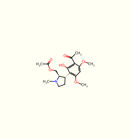 COc1cc(OC)c([C@@H]2CCN(C)[C@H]2COC(C)=O)c(O)c1C(C)=O